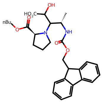 CCCCOC(=O)[C@@H]1CCCN1C(C(O)C(=O)O)[C@H](C)NC(=O)OCC1c2ccccc2-c2ccccc21